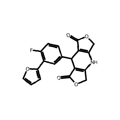 O=C1OCC2=C1C(c1ccc(F)c(-c3ccco3)c1)C1=C(COC1=O)N2